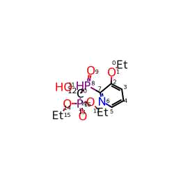 CCOc1cccnc1[PH](=O)[12CH](O)P(=O)(OCC)OCC